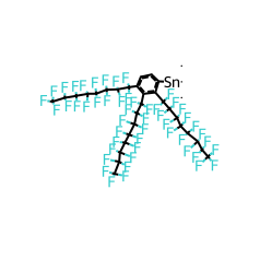 FC(F)(F)C(F)(F)C(F)(F)C(F)(F)C(F)(F)C(F)(F)C(F)(F)C(F)(F)c1cc[c]([Sn])c(C(F)(F)C(F)(F)C(F)(F)C(F)(F)C(F)(F)C(F)(F)C(F)(F)C(F)(F)F)c1C(F)(F)C(F)(F)C(F)(F)C(F)(F)C(F)(F)C(F)(F)C(F)(F)C(F)(F)F